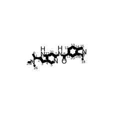 CC(c1cc2cnc(NC(=O)c3ccc4cnn(C)c4c3)cc2[nH]1)N(C)C